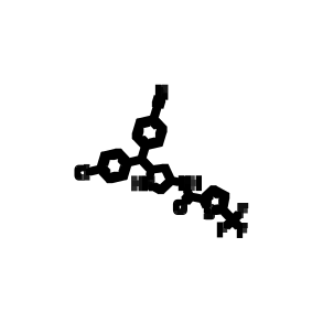 N#Cc1ccc(C(c2ccc(Cl)cc2)C2CC(NC(=O)c3ccc(C(F)(F)F)s3)CN2)cc1